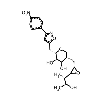 C[C@H]([C@@H]1O[C@H]1C[C@H]1CO[C@@H](Cc2cc(-c3ccc([N+](=O)[O-])cc3)no2)[C@H](O)[C@@H]1O)[C@H](C)O